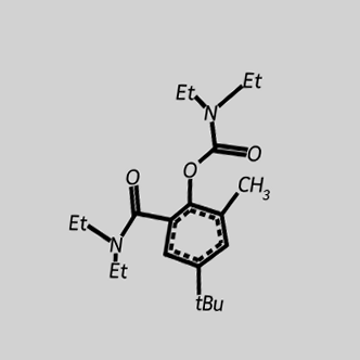 CCN(CC)C(=O)Oc1c(C)cc(C(C)(C)C)cc1C(=O)N(CC)CC